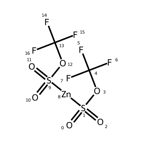 O=[S](=O)(OC(F)(F)F)[Zn][S](=O)(=O)OC(F)(F)F